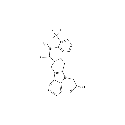 CN(C(=O)C1CCc2c(c3ccccc3n2CC(=O)O)C1)c1ccccc1C(F)(F)F